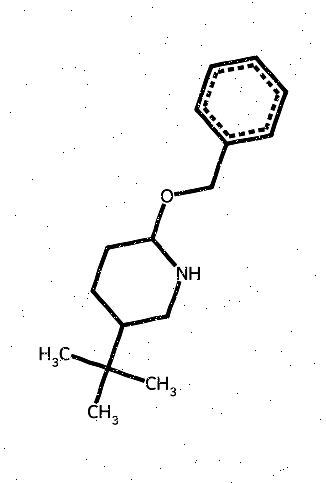 CC(C)(C)C1CCC(OCc2ccccc2)NC1